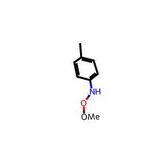 COONc1ccc(C)cc1